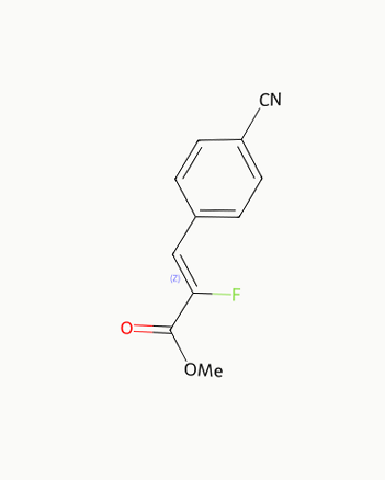 COC(=O)/C(F)=C/c1ccc(C#N)cc1